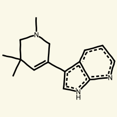 CN1CC(c2c[nH]c3ncccc23)=CC(C)(C)C1